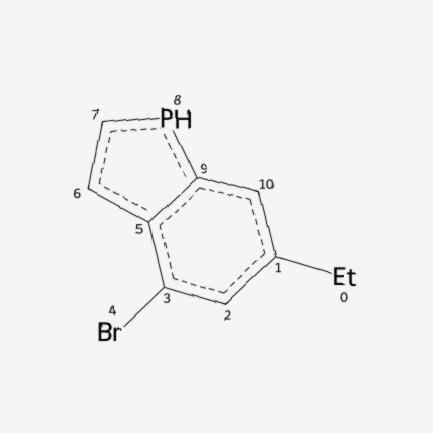 CCc1cc(Br)c2cc[pH]c2c1